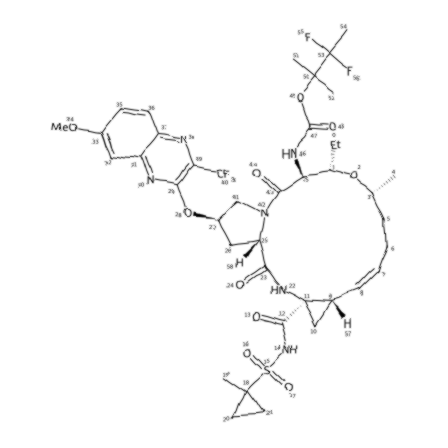 CC[C@@H]1O[C@H](C)CC/C=C\[C@@H]2C[C@@]2(C(=O)NS(=O)(=O)C2(C)CC2)NC(=O)[C@@H]2C[C@@H](Oc3nc4cc(OC)ccc4nc3C(F)(F)F)CN2C(=O)[C@H]1NC(=O)OC(C)(C)C(C)(F)F